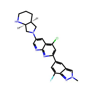 Cn1cc2cc(-c3cc(Cl)c4cc(N5C[C@@H]6CCCN[C@@H]6C5)cnc4n3)cc(F)c2n1